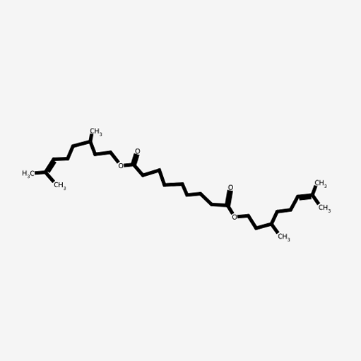 CC(C)=CCCC(C)CCOC(=O)CCCCCCCC(=O)OCCC(C)CCC=C(C)C